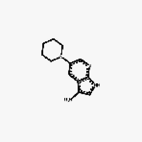 Nc1c[nH]c2ncc(N3CCCCC3)cc12